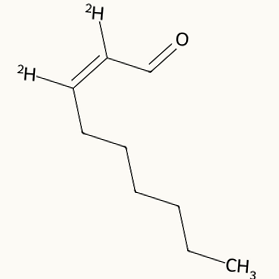 [2H]C(C=O)=C([2H])CCCCCC